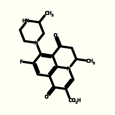 CC1CN(c2c(F)cc3c(=O)c(C(=O)O)cn4c3c2C(=O)CC4C)CCN1